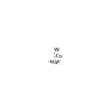 [Co].[Mo].[P].[W]